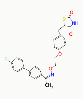 C/C(=N/OCCOc1ccc(CC2SC(=O)NC2=O)cc1)c1ccc(-c2ccc(F)cc2)cc1